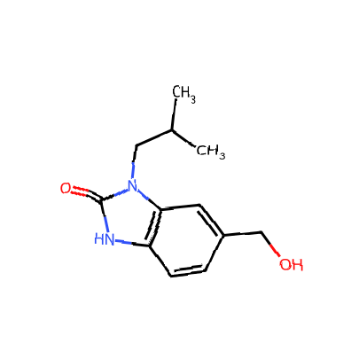 CC(C)Cn1c(=O)[nH]c2ccc(CO)cc21